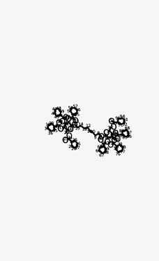 O=C(OCC1O[C@@H](OCCC#CC=CCCO[C@H]2OC(COC(=O)c3ccccc3)[C@@H](OC(=O)c3ccccc3)[C@@H](OC(=O)c3ccccc3)C2OC(=O)c2ccccc2)C(OC(=O)c2ccccc2)C(OC(=O)c2ccccc2)[C@H]1OC(=O)c1ccccc1)c1ccccc1